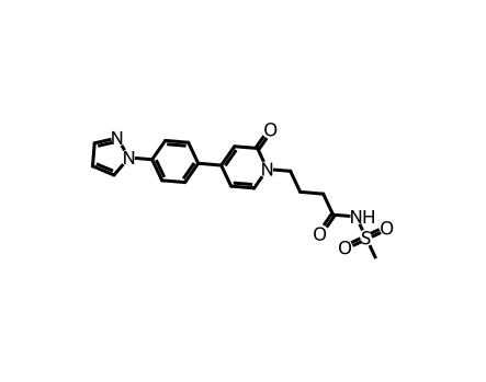 CS(=O)(=O)NC(=O)CCCn1ccc(-c2ccc(-n3cccn3)cc2)cc1=O